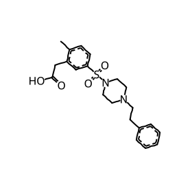 Cc1ccc(S(=O)(=O)N2CCN(CCc3ccccc3)CC2)cc1CC(=O)O